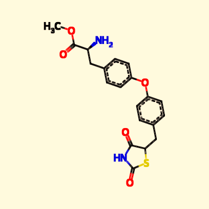 COC(=O)[C@@H](N)Cc1ccc(Oc2ccc(CC3SC(=O)NC3=O)cc2)cc1